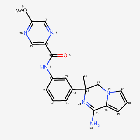 COc1cnc(C(=O)Nc2cccc(C3(C)Cn4cccc4C(N)=N3)c2)cn1